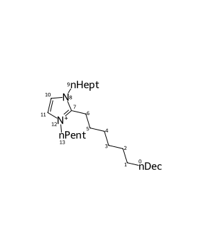 CCCCCCCCCCCCCCCCc1n(CCCCCCC)cc[n+]1CCCCC